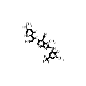 CNC1=CN/C(=C(\C=N)Oc2cnc3nc(Nc4cc(C(F)(F)F)cn(C)c4=O)n(C)c3c2C#N)C(F)=C1